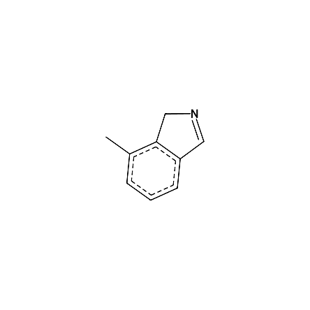 Cc1cccc2c1CN=C2